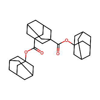 O=C(OC12CC3CC(CC(C3)C1)C2)C12CC3CC(C1)CC(C(=O)OC14CC5CC(CC(C5)C1)C4)(C3)C2